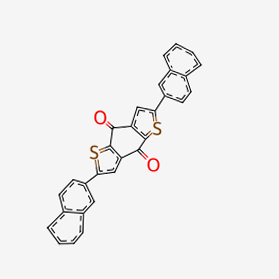 O=C1c2cc(-c3ccc4ccccc4c3)sc2C(=O)c2cc(-c3ccc4ccccc4c3)sc21